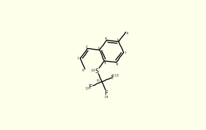 C/C=C\c1cc(C)ccc1SC(F)(F)F